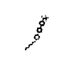 CCCCCCC[C@H]1CC[C@H](c2ccc(-c3ccc(C(F)C(C)(F)F)cc3)cc2)CC1